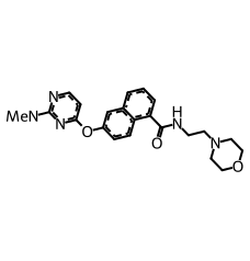 CNc1nccc(Oc2ccc3c(C(=O)NCCN4CCOCC4)cccc3c2)n1